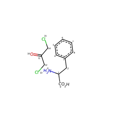 NC(Cc1ccccc1)C(=O)O.O=C(CCl)CCl